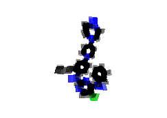 COc1cc(N2CCC(N3CCNCC3)CC2)ccc1Nc1ncc(Cl)c(Nc2ccccc2)n1